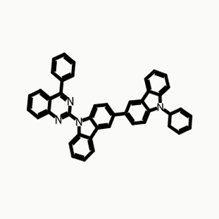 C1=CCC(n2c3ccccc3c3cc(-c4ccc5c(c4)c4ccccc4n5-c4nc(-c5ccccc5)c5ccccc5n4)ccc32)C=C1